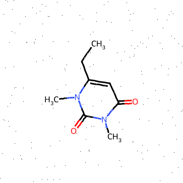 CCc1cc(=O)n(C)c(=O)n1C